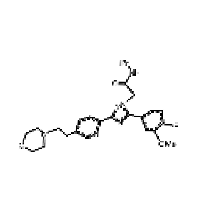 COc1cc(-c2nc(-c3ccc(CCN4CCOCC4)cn3)nn2CC(=O)NC(C)C)ccc1F